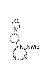 CNc1cnccnccc(C2=CCC=C(N3CCOCC3)C=C2)n1